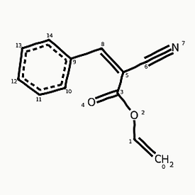 C=COC(=O)C(C#N)=Cc1ccccc1